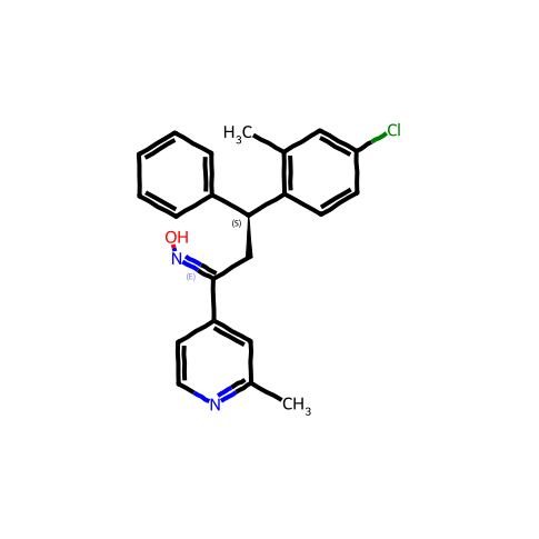 Cc1cc(/C(C[C@@H](c2ccccc2)c2ccc(Cl)cc2C)=N/O)ccn1